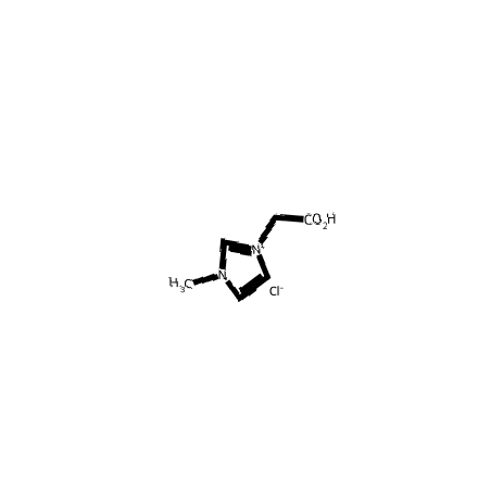 Cn1cc[n+](CC(=O)O)c1.[Cl-]